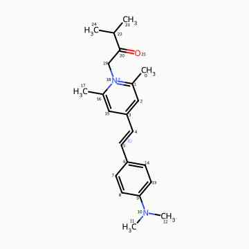 Cc1cc(/C=C/c2ccc(N(C)C)cc2)cc(C)[n+]1CC(=O)C(C)C